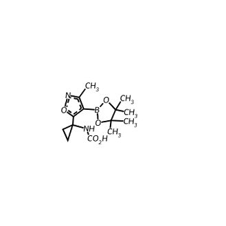 Cc1noc(C2(NC(=O)O)CC2)c1B1OC(C)(C)C(C)(C)O1